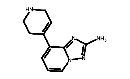 Nc1nc2c(C3=CCNCC3)cccn2n1